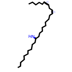 CCCCC/C=C\C/C=C\CCCCCCCCC(=N)CCCCCCCCCC